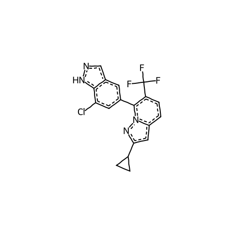 FC(F)(F)c1ccc2cc(C3CC3)nn2c1-c1cc(Cl)c2[nH]ncc2c1